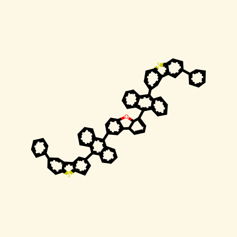 C1=CC2c3cc(-c4c5ccccc5c(-c5ccc6sc7ccc(-c8ccccc8)cc7c6c5)c5ccccc45)ccc3OC2C(c2c3ccccc3c(-c3ccc4sc5ccc(-c6ccccc6)cc5c4c3)c3ccccc23)=C1